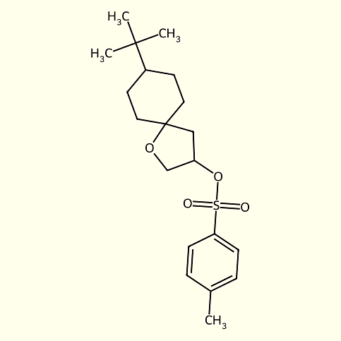 Cc1ccc(S(=O)(=O)OC2COC3(CCC(C(C)(C)C)CC3)C2)cc1